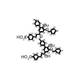 Cc1ccc(-c2cc(C(=O)C=Cc3ccc(C(=O)O)cc3)cc(OCc3ccccc3)c2C(C)(C)C)cc1.Cc1ccc(-c2cc(C(O)C=Cc3ccc(C(=O)O)cc3)cc(OCc3ccccc3)c2C(C)(C)C)cc1